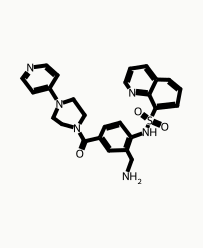 NCc1cc(C(=O)N2CCN(c3ccncc3)CC2)ccc1NS(=O)(=O)c1cccc2cccnc12